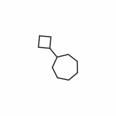 C1CCCC([C]2CCC2)CC1